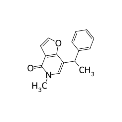 CC(c1ccccc1)c1cn(C)c(=O)c2ccoc12